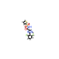 Cn1cc(C(=O)NS(=O)(=O)c2cccs2)nc1-c1c(F)cccc1F